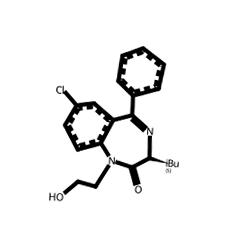 CC[C@H](C)C1N=C(c2ccccc2)c2cc(Cl)ccc2N(CCO)C1=O